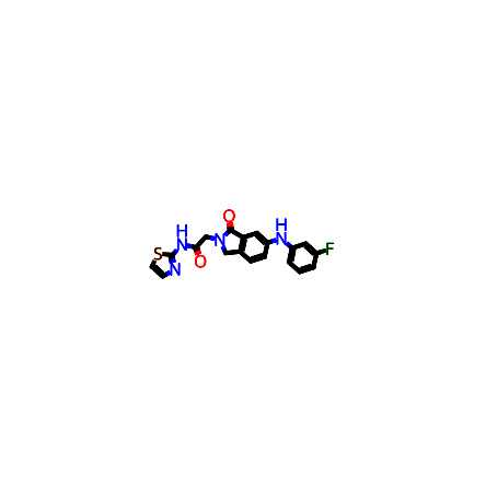 O=C(CN1Cc2ccc(Nc3cccc(F)c3)cc2C1=O)Nc1nccs1